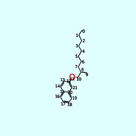 CCCCCCCCC(C)COc1ccc2ccccc2c1